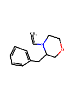 C=CN1CCOCC1Cc1ccccc1